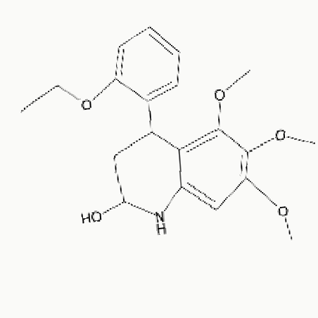 CCOc1ccccc1C1CC(O)Nc2cc(OC)c(OC)c(OC)c21